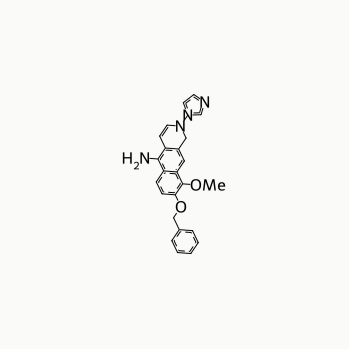 COc1c(OCc2ccccc2)ccc2c(N)c3c(cc12)CN(n1ccnc1)C=C3